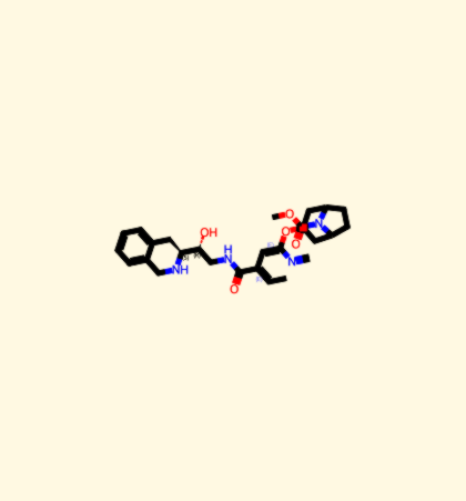 C=N/C(=C\C(=C/C)C(=O)NC[C@@H](O)[C@@H]1Cc2ccccc2CN1)OC1CC2CCC(C1)N2C(=O)OC